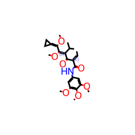 C/C=C(/C(=O)Nc1cc(OC)c(OC)c(OC)c1)C(=O)/C(=C(\OC)C(OC)=C1CC1)C(C)C